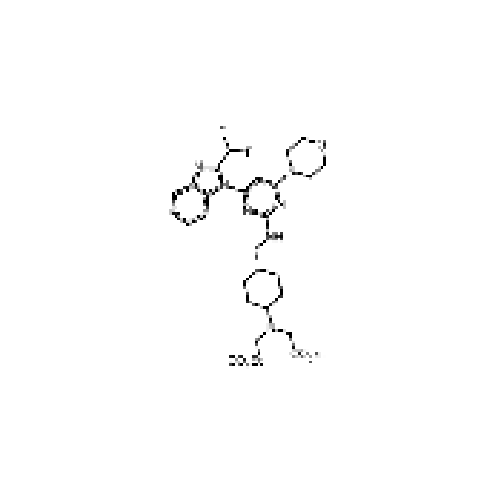 CCOC(=O)CN(CC(=O)OCC)[C@H]1CC[C@H](CNc2nc(N3CCOCC3)cc(-n3c(C(F)F)nc4ccccc43)n2)CC1